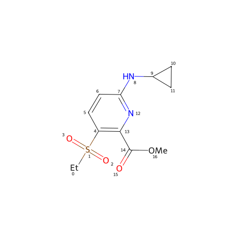 CCS(=O)(=O)c1ccc(NC2CC2)nc1C(=O)OC